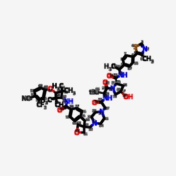 Cc1ncsc1-c1ccc(C(C)NC(=O)[C@@H]2C[C@@H](O)CN2C(=O)[C@@H](NC(=O)CN2CCN(CC3(Cc4ccc(C(=O)N[C@H]5C(C)(C)[C@H](Oc6ccc(C#N)c(C(F)(F)F)c6)C5(C)C)cc4)COC3)CC2)C(C)(C)C)cc1